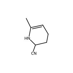 CC1=CCCC(C#N)N1